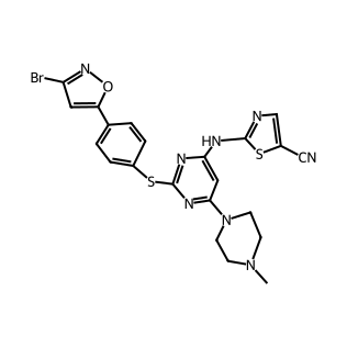 CN1CCN(c2cc(Nc3ncc(C#N)s3)nc(Sc3ccc(-c4cc(Br)no4)cc3)n2)CC1